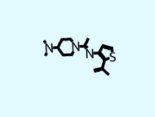 C=C(C)c1sccc1/N=C(\C)N1CCC(N(C)C)CC1